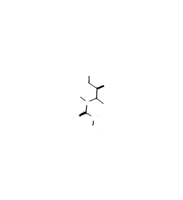 CC(C)C(C(=O)CC(=O)O)N(C)C(=O)OC(C)(C)C